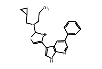 CCCN(CC1CC1)C1NC(c2c[nH]c3ncc(-c4ccccc4)cc23)=CS1